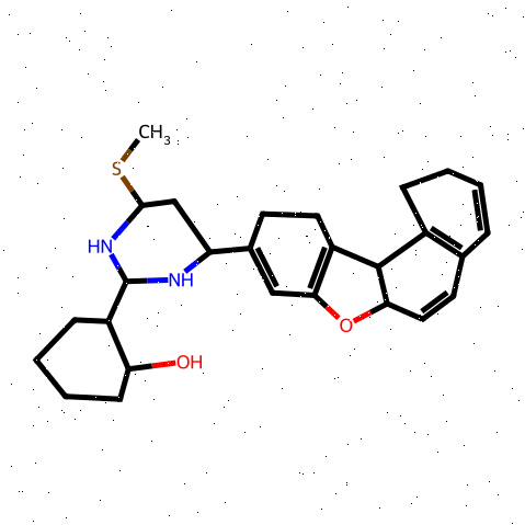 CSC1CC(C2=CC3=C(CC2)C2C4=C(C=CCC4)C=CC2O3)NC(C2CCCCC2O)N1